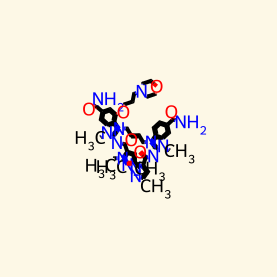 CCn1nc(C)cc1C(=O)/N=c1/n(C)c2cc(C(N)=O)ccc2n1C/C=C/Cn1/c(=N\C(=O)c2cc(C)nn2CC)n(C)c2cc(C(N)=O)cc(OCCCN3CCOCC3)c21